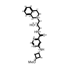 CO[C@H]1C[C@H](Nc2cc(C(=O)NC[C@H](O)CN3CCc4ccccc4C3)ncn2)C1